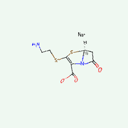 NCCSC1=C(C(=O)[O-])N2C(=O)C[C@@H]2S1.[Na+]